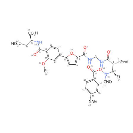 CCCCC[C@@H](C(=O)NCNC(=O)c1ccc(-c2ccc(C(=O)N[C@@H](CC(=O)O)C(=O)O)c(OCC)c2)o1)[C@@H](CC)N(C=O)OC(=O)c1ccc(NC)cc1